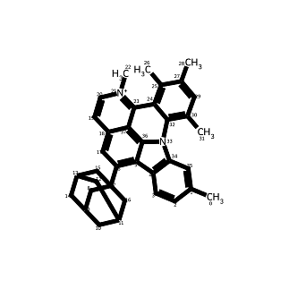 Cc1ccc2c3c(C45CC6CC(CC(C6)C4)C5)cc4cc[n+](C)c5c6c(C)c(C)cc(C)c6n(c2c1)c3c45